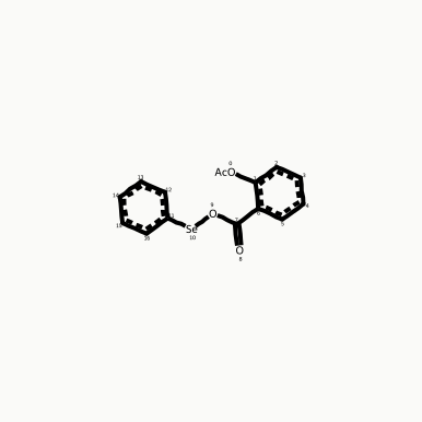 CC(=O)Oc1ccccc1C(=O)O[Se]c1ccccc1